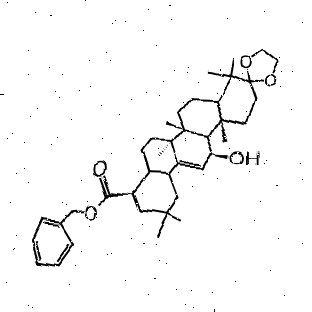 CC1(C)CC2C3=C[C@H](O)C4[C@@]5(C)CCC6(OCCO6)C(C)(C)C5CC[C@@]4(C)[C@]3(C)CCC2[C@H](C(=O)OCc2ccccc2)C1